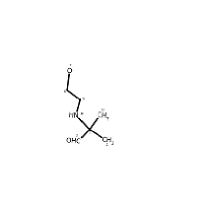 CC(C)(C=O)NCC[O]